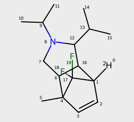 [2H]C12C=CC(C)(C3CN(C(C)C)C(C(C)C)C31)C2(F)F